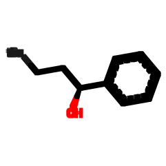 CC(C)(C)CC[C@H](O)c1ccccc1